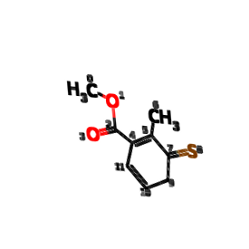 COC(=O)C1=C(C)C(=S)CC=C1